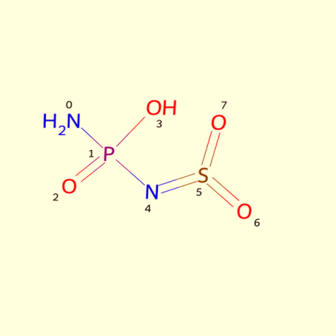 NP(=O)(O)N=S(=O)=O